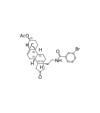 CC(=O)O[C@H]1CC[C@@]2(C)C(=CC[C@H]3[C@@H]4CC(=O)C[C@@]4(CCNC(=O)c4cccc(Br)c4)CC[C@@H]32)C1